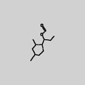 CCC(OC=O)C1CCC(C)CC1C